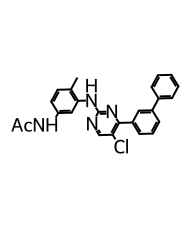 CC(=O)Nc1ccc(C)c(Nc2ncc(Cl)c(-c3cccc(-c4ccccc4)c3)n2)c1